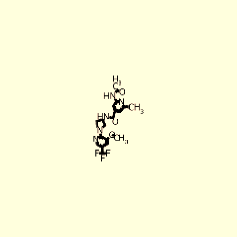 COc1cc(C(F)(F)F)cnc1N1CC[C@@H](NC(=O)c2cc(C)nc(NC(C)=O)c2)C1